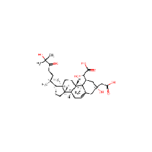 C[C@H](CCC(=O)C(C)(C)O)[C@H]1CC[C@H]2[C@@H]3CC=C4C[C@](O)(CC(=O)O)CC(C(O)C(=O)O)[C@]4(C)[C@H]3CC[C@]12C